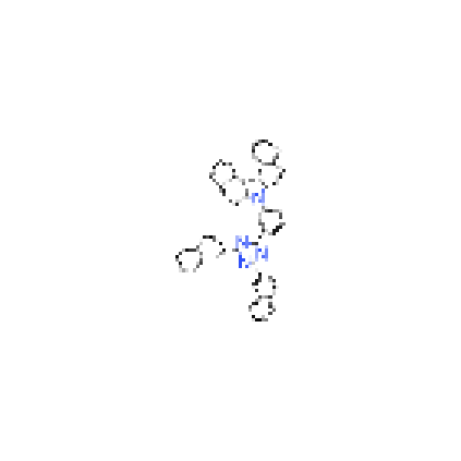 c1cc(-c2nc(-c3ccc4ccccc4c3)nc(-c3ccc4ccccc4c3)n2)cc(-n2c3ccc4ccccc4c3c3c4ccccc4ccc32)c1